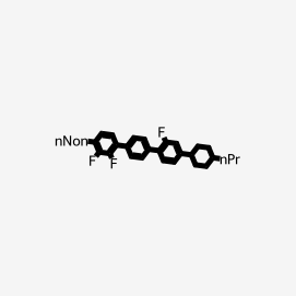 CCCCCCCCCc1ccc(-c2ccc(-c3ccc(C4CCC(CCC)CC4)cc3F)cc2)c(F)c1F